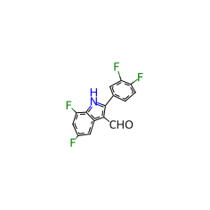 O=Cc1c(-c2ccc(F)c(F)c2)[nH]c2c(F)cc(F)cc12